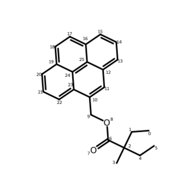 CCC(C)(CC)C(=O)OCc1cc2cccc3ccc4cccc1c4c32